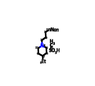 CCCCCCCCCCCCN1CCC(CC)CC1.CS(=O)(=O)O